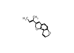 C/C=C(\C)C1=Cc2ccc3c(c2OC1)C=CCO3